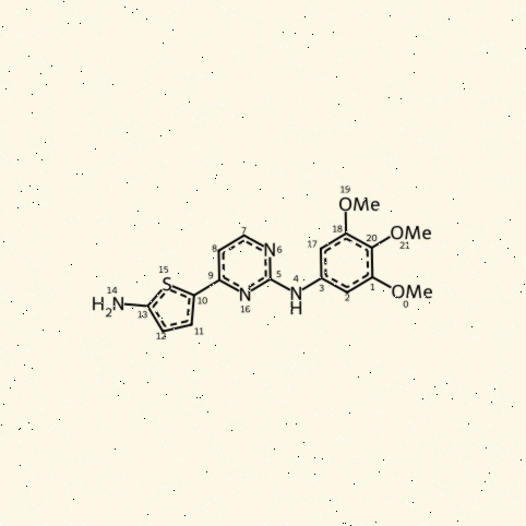 COc1cc(Nc2nccc(-c3ccc(N)s3)n2)cc(OC)c1OC